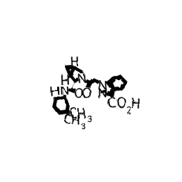 CC1(C)CCCC(NC(=O)[C@@H]2[C@@H]3C[C@@H]3CN2C(=O)Cn2nc(C(=O)O)c3ccccc32)C1